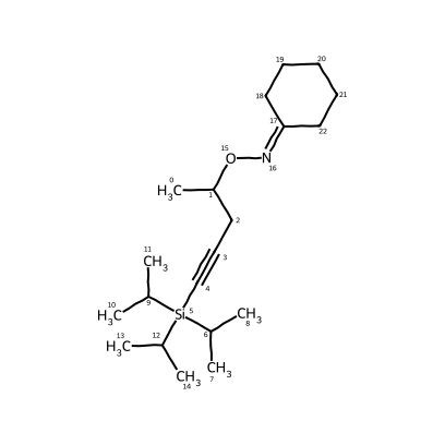 CC(CC#C[Si](C(C)C)(C(C)C)C(C)C)ON=C1CCCCC1